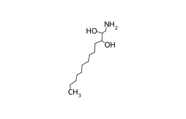 CCCCCCCCCCC(O)C(O)CN